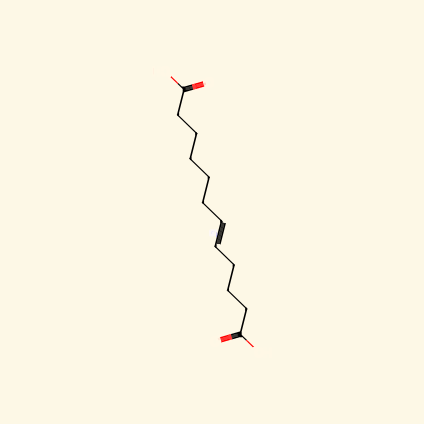 O=C(O)CCC/C=C/CCCCCC(=O)O